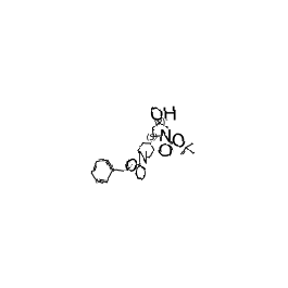 CC(C)(C)OC(=O)N1C[C@H](O)C[C@H]1C1CCN(C(=O)OCc2ccccc2)CC1